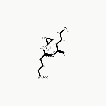 C1CN1.C=C(CCCCCCCCCCCCC)C(=O)O.C=C(CCCO)C(=O)O